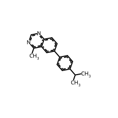 Cc1ncnc2ccc(-c3ccc(C(C)C)cc3)cc12